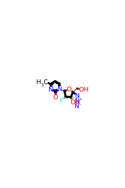 Cc1ccn([C@@H]2O[C@@](CO)(N=[N+]=[N-])[C@@H](O)[C@@H]2F)c(=O)n1